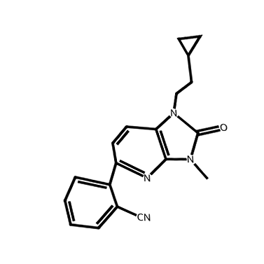 Cn1c(=O)n(CCC2CC2)c2ccc(-c3ccccc3C#N)nc21